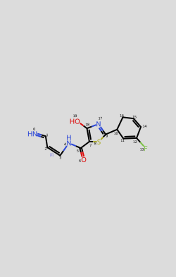 N=C/C=C\NC(=O)c1sc(C2C=C(F)C=CC2)nc1O